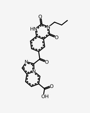 CCCn1c(=O)[nH]c2ccc(C(=O)c3ncc4ccc(C(=O)O)cn34)cc2c1=O